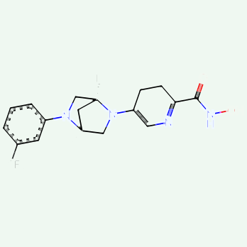 O=C(NO)C1=NC=C(N2C[C@@H]3C[C@H]2CN3c2cccc(C(F)(F)F)c2)CC1